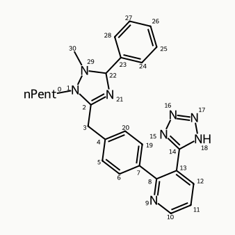 CCCCCN1C(Cc2ccc(-c3ncccc3-c3nnn[nH]3)cc2)=NC(c2ccccc2)N1C